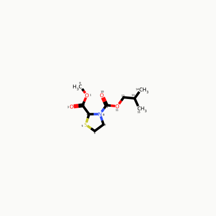 COC(=O)C1SCCN1C(=O)OCC(C)C